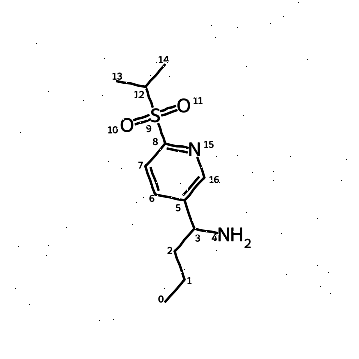 CCCC(N)c1ccc(S(=O)(=O)C(C)C)nc1